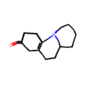 O=C1CCC2=C(CCC3CCCCN23)C1